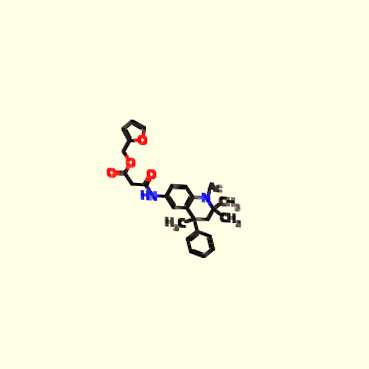 CC(=O)N1c2ccc(NC(=O)CC(=O)OCc3ccco3)cc2C(C)(c2ccccc2)CC1(C)C